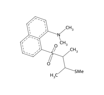 CSC(C)C(C)S(=O)(=O)c1cccc2cccc(N(C)C)c12